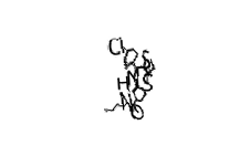 CCCCNC(=O)c1ccc2c(c1)N=C(c1ccc(Cl)cc1)c1sccc1S2